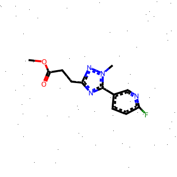 COC(=O)CCc1nc(-c2ccc(F)nc2)n(C)n1